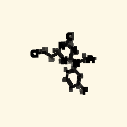 CCCN(c1cccc(F)c1)c1nc(Cl)nc(CCCl)n1